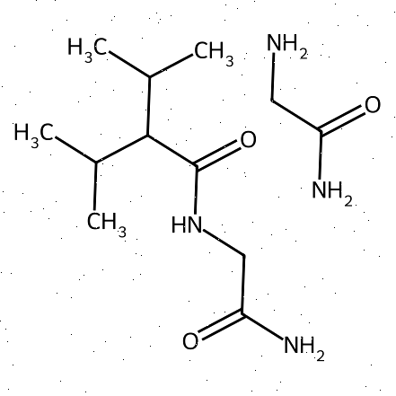 CC(C)C(C(=O)NCC(N)=O)C(C)C.NCC(N)=O